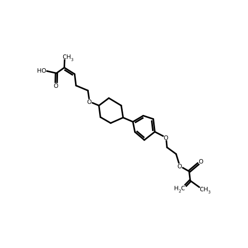 C=C(C)C(=O)OCCOc1ccc(C2CCC(OCCC=C(C)C(=O)O)CC2)cc1